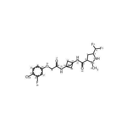 CN1NC(C(F)F)CC1C(=O)NC12CC(NC(=O)COc3ccc(Cl)c(F)c3)(C1)C2